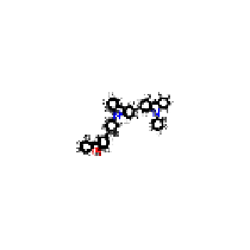 c1ccc(-n2c3ccccc3c3ccc(-c4ccc5c(c4)c4ccccc4n5-c4ccc(-c5ccc6oc7ccccc7c6c5)cc4)cc32)cc1